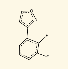 Fc1cccc(-c2ccon2)c1F